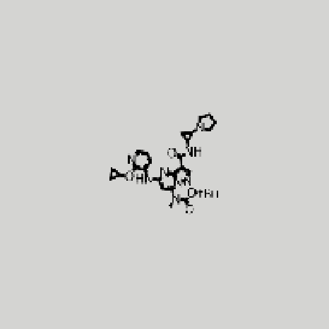 CN(C(=O)OC(C)(C)C)c1cc(Nc2cccnc2OC2CC2)nc2c(C(=O)NC3CC3N3CCCC3)cnn12